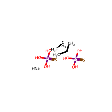 CC.CCC.OP(O)(O)=S.OP(O)(O)=S.[NaH]